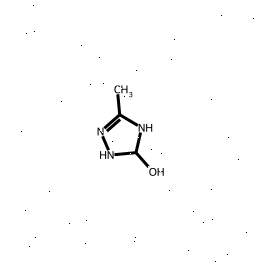 CC1=NNC(O)N1